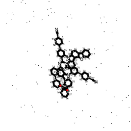 N#Cc1ccc(-c2ccc(-c3nc(-c4cccc(-c5cccc(C#N)c5)c4)nc(-c4ccc(-c5ccc(C#N)cc5)cc4-n4c5ccccc5c5c6oc7ccccc7c6ccc54)n3)c(-n3c4ccccc4c4c5oc6ccccc6c5ccc43)c2)cc1